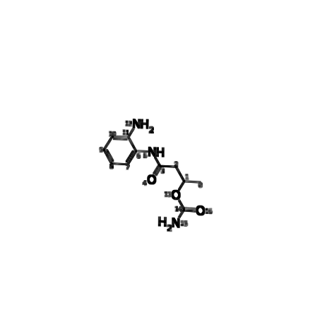 CC(CC(=O)Nc1ccccc1N)OC(N)=O